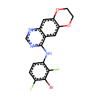 Fc1ccc(Nc2ncnc3cc4c(cc23)OCCO4)c(F)c1Br